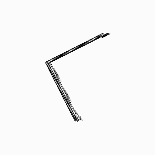 [Eu+3].[Eu+3].[Eu+3].[Eu+3].[Eu+3].[Eu+3].[Eu+3].[Eu+3].[Eu+3].[Eu+3].[O-2].[O-2].[O-2].[O-2].[O-2].[O-2].[O-2].[O-2].[O-2].[O-2].[O-2].[O-2].[O-2].[O-2].[O-2].[O-2].[O-2].[O-2].[O-2].[O-2].[O-2].[O-2].[O-2].[O-2].[O-2].[O-2].[O-2].[O-2].[O-2].[O-2].[O-2].[O-2].[O-2].[O-2].[O-2].[O-2].[O-2].[O-2].[O-2].[O-2].[O-2].[O-2].[O-2].[O-2].[O-2].[O-2].[O-2].[O-2].[O-2].[O-2].[O-2].[O-2].[O-2].[O-2].[O-2].[O-2].[O-2].[O-2].[O-2].[O-2].[O-2].[O-2].[O-2].[O-2].[O-2].[O-2].[O-2].[O-2].[O-2].[O-2].[O-2].[O-2].[O-2].[O-2].[O-2].[O-2].[O-2].[O-2].[O-2].[O-2].[O-2].[O-2].[O-2].[O-2].[O-2].[O-2].[O-2].[O-2].[O-2].[O-2].[O-2].[O-2].[O-2].[O-2].[O-2].[O-2].[O-2].[O-2].[O-2].[O-2]